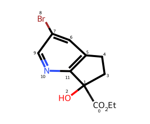 CCOC(=O)C1(O)CCc2cc(Br)cnc21